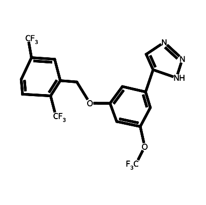 FC(F)(F)Oc1cc(OCc2cc(C(F)(F)F)ccc2C(F)(F)F)cc(-c2cnn[nH]2)c1